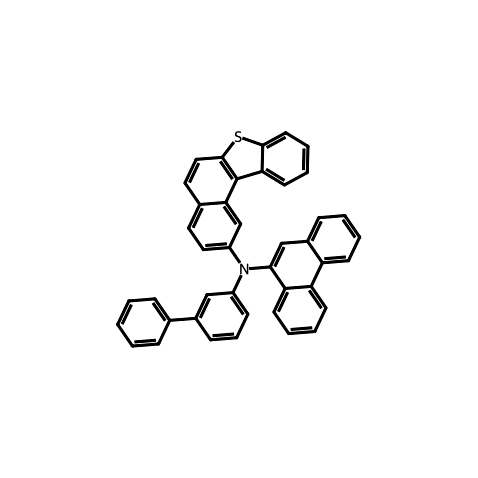 c1ccc(-c2cccc(N(c3ccc4ccc5sc6ccccc6c5c4c3)c3cc4ccccc4c4ccccc34)c2)cc1